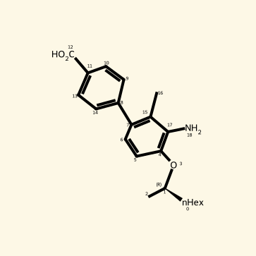 CCCCCC[C@@H](C)Oc1ccc(-c2ccc(C(=O)O)cc2)c(C)c1N